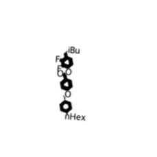 CCCCCC[C@H]1CC[C@H](COc2ccc(C(=O)Oc3ccc(C[C@@H](C)CC)c(F)c3F)cc2)CC1